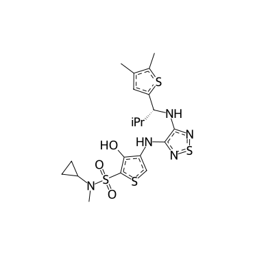 Cc1cc([C@H](Nc2nsnc2Nc2csc(S(=O)(=O)N(C)C3CC3)c2O)C(C)C)sc1C